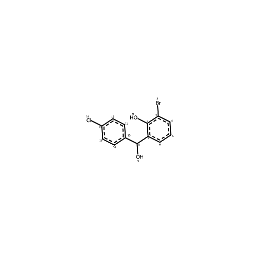 Oc1c(Br)cccc1C(O)c1ccc(Cl)cc1